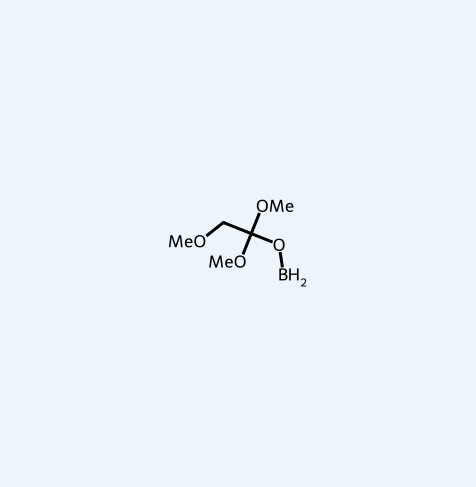 BOC(COC)(OC)OC